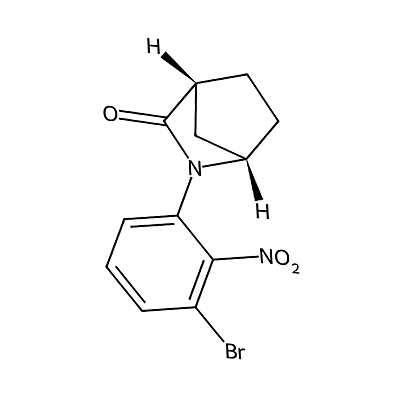 O=C1[C@@H]2CC[C@@H](C2)N1c1cccc(Br)c1[N+](=O)[O-]